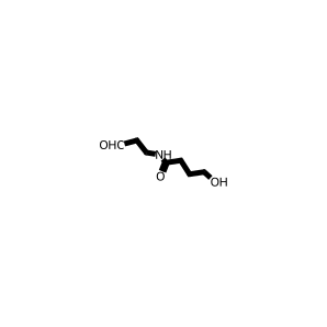 O=CCCNC(=O)CCCO